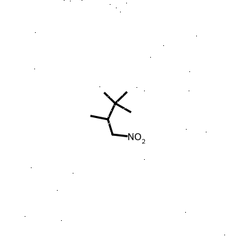 CC(C[N+](=O)[O-])C(C)(C)C